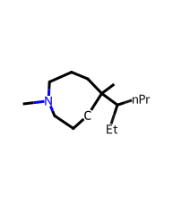 CCCC(CC)C1(C)CCCN(C)CCC1